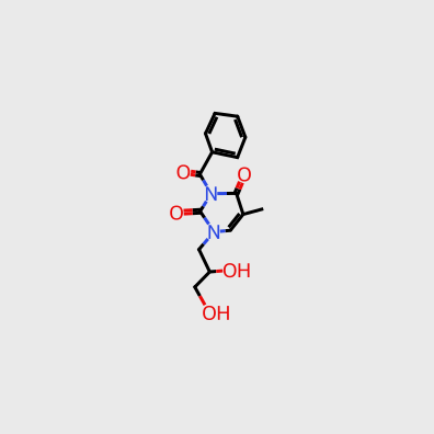 Cc1cn(CC(O)CO)c(=O)n(C(=O)c2ccccc2)c1=O